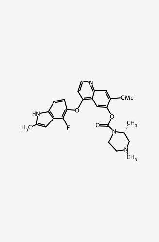 COc1cc2nccc(Oc3ccc4[nH]c(C)cc4c3F)c2cc1OC(=O)N1CCN(C)C[C@H]1C